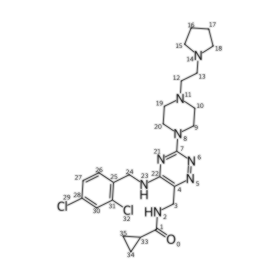 O=C(NCc1nnc(N2CCN(CCN3CCCC3)CC2)nc1NCc1ccc(Cl)cc1Cl)C1CC1